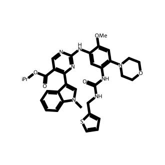 COc1cc(N2CCOCC2)c(NC(=O)NCc2cccs2)cc1Nc1ncc(C(=O)OC(C)C)c(-c2cn(C)c3ccccc23)n1